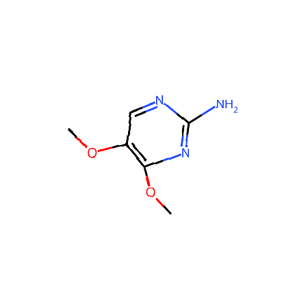 COc1cnc(N)nc1OC